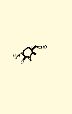 C=C1/C(=C\C=O)CC[C@@H](N)C(=O)N1C